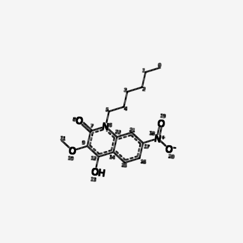 CCCCCCn1c(=O)c(OC)c(O)c2ccc([N+](=O)[O-])cc21